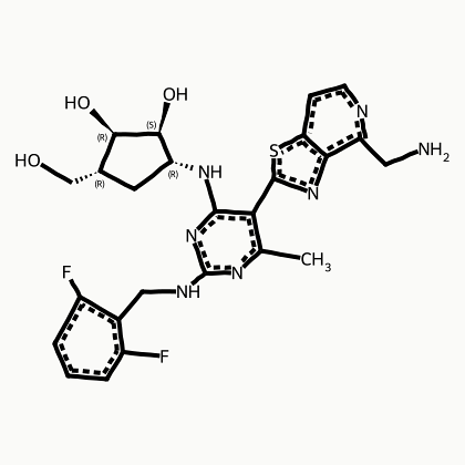 Cc1nc(NCc2c(F)cccc2F)nc(N[C@@H]2C[C@H](CO)[C@@H](O)[C@H]2O)c1-c1nc2c(CN)nccc2s1